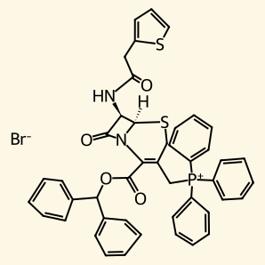 O=C(Cc1cccs1)N[C@@H]1C(=O)N2C(C(=O)OC(c3ccccc3)c3ccccc3)=C(C[P+](c3ccccc3)(c3ccccc3)c3ccccc3)CS[C@H]12.[Br-]